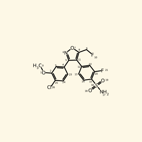 COc1cc(-c2noc(CF)c2-c2ccc(S(N)(=O)=O)c(F)c2)ccc1Cl